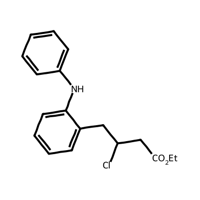 CCOC(=O)CC(Cl)Cc1ccccc1Nc1ccccc1